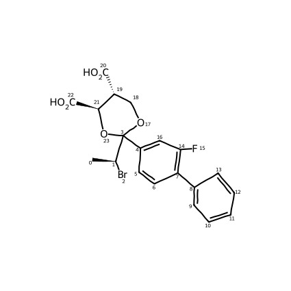 C[C@H](Br)C1(c2ccc(-c3ccccc3)c(F)c2)OC[C@@H](C(=O)O)[C@H](C(=O)O)O1